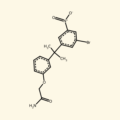 CC(C)(c1cccc(OCC(N)=O)c1)c1cc(Br)cc([N+](=O)[O-])c1